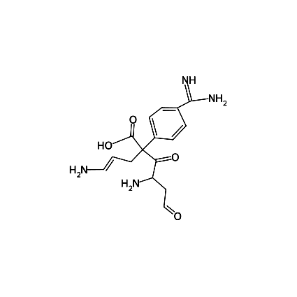 N=C(N)c1ccc(C(CC=CN)(C(=O)O)C(=O)C(N)CC=O)cc1